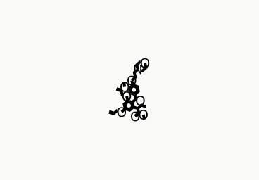 C=CCOc1cc(OCC=C)c(C(=O)c2ccc(OCCN3CCOCC3)c(OC)c2)c(C(CC)C(=O)OC)c1